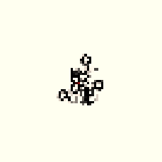 CC1C(Nc2ccccc2)Nc2ccccc2C1(C)C1c2ccc(-c3ccccc3C(F)(F)F)cc2N2c3nccnc3N(c3ccccc3)C12